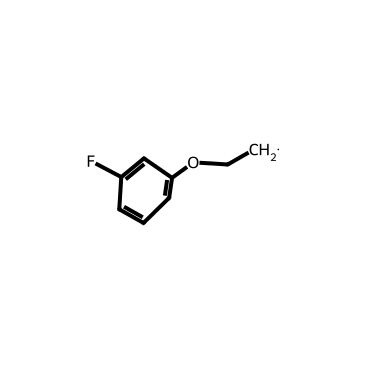 [CH2]COc1cccc(F)c1